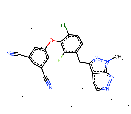 [CH2]n1nc(Cc2ccc(Cl)c(Oc3cc(C#N)cc(C#N)c3)c2F)c2ccnnc21